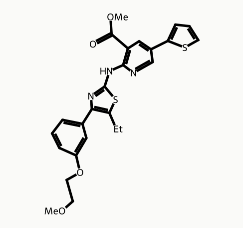 CCc1sc(Nc2ncc(-c3cccs3)cc2C(=O)OC)nc1-c1cccc(OCCOC)c1